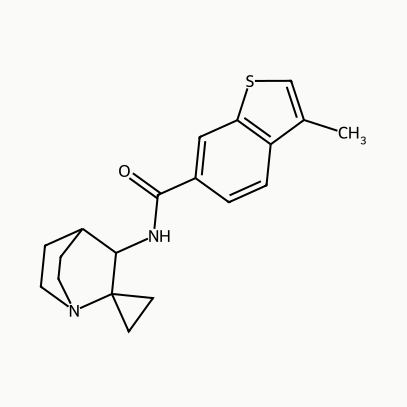 Cc1csc2cc(C(=O)NC3C4CCN(CC4)C34CC4)ccc12